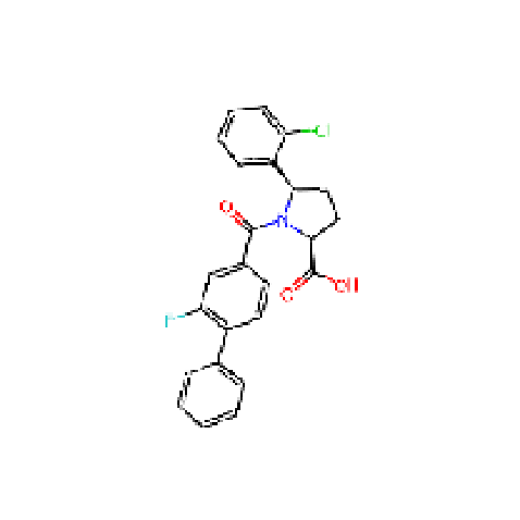 O=C(O)[C@@H]1CC[C@H](c2ccccc2Cl)N1C(=O)c1ccc(-c2ccccc2)c(F)c1